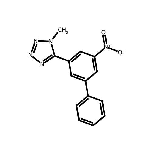 Cn1nnnc1-c1cc(-c2ccccc2)cc([N+](=O)[O-])c1